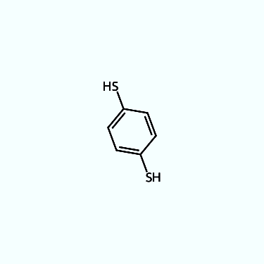 Sc1ccc(S)cc1